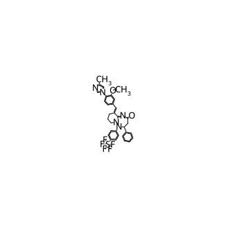 COc1cc(/C=C2\CCCN3C2=NC(=O)CC(c2ccccc2)N3c2ccc(S(F)(F)(F)(F)F)cc2)ccc1-n1cnc(C)c1